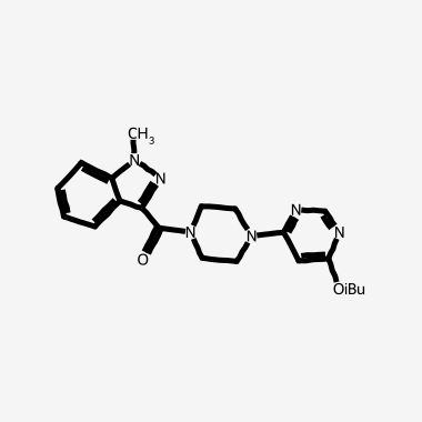 CC(C)COc1cc(N2CCN(C(=O)c3nn(C)c4ccccc34)CC2)ncn1